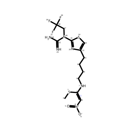 CS/C(=C\[N+](=O)[O-])NCCCCc1csc(N(CC(F)(F)F)C(=N)N)n1